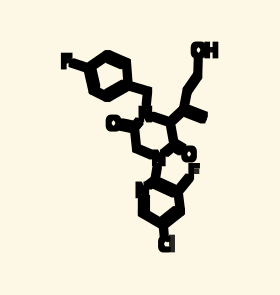 C=C(CCO)C1C(=O)N(c2ncc(Cl)cc2F)CC(=O)N1Cc1ccc(F)cc1